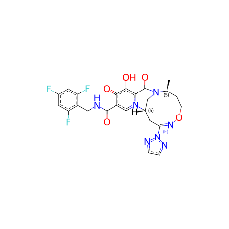 C[C@H]1CCO/N=C(/n2nccn2)C[C@H]2CN1C(=O)c1c(O)c(=O)c(C(=O)NCc3c(F)cc(F)cc3F)cn12